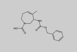 CC1=CCCN(C(=O)O)CC1NC(=O)OCc1ccccc1